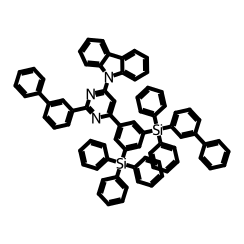 c1ccc(-c2cccc(-c3nc(-c4cc([Si](c5ccccc5)(c5ccccc5)c5ccccc5)cc([Si](c5ccccc5)(c5ccccc5)c5cccc(-c6ccccc6)c5)c4)cc(-n4c5ccccc5c5ccccc54)n3)c2)cc1